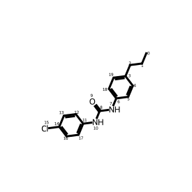 CCCc1ccc(NC(=O)Nc2ccc(Cl)cc2)cc1